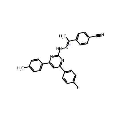 C/C(=N\Nc1nc(-c2ccc(C)cc2)cc(-c2ccc(F)cc2)n1)c1ccc(C#N)cc1